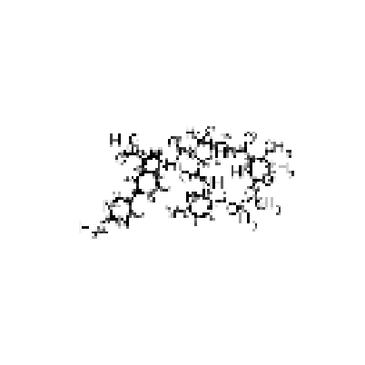 COCc1ccc(Br)nc1NC(=O)[C@@H]1C[C@@]2(CNC(=O)[C@@H](NC(=O)OC)C(C)C)C[C@H]2N1C(=O)Cn1nc(C(C)=O)c2cc(-c3cnc(C)nc3)ccc21